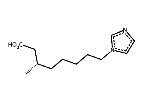 C[C@@H](CCCCCn1ccnc1)CC(=O)O